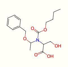 CCCCOC(=O)N(C(C)OCc1ccccc1)C(CO)C(=O)O